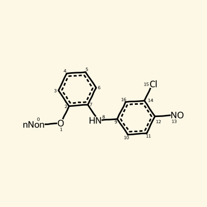 CCCCCCCCCOc1ccccc1Nc1ccc(N=O)c(Cl)c1